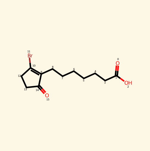 O=C(O)CCCCCCC1=C(Br)CCC1=O